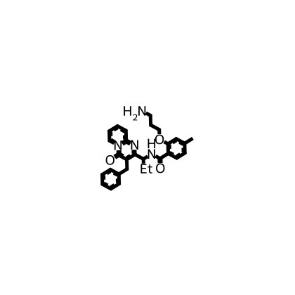 CCC(NC(=O)c1ccc(C)cc1OCCCN)c1nc2ccccn2c(=O)c1Cc1ccccc1